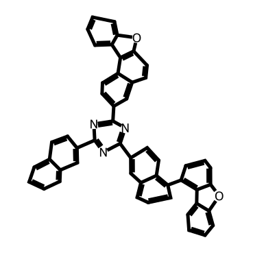 c1ccc2cc(-c3nc(-c4ccc5c(-c6cccc7oc8ccccc8c67)cccc5c4)nc(-c4ccc5c(ccc6oc7ccccc7c65)c4)n3)ccc2c1